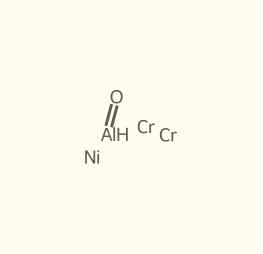 [Cr].[Cr].[Ni].[O]=[AlH]